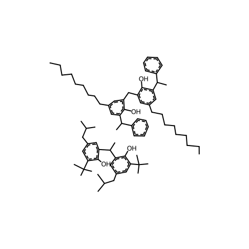 CC(C)Cc1cc(C(C)c2cc(CC(C)C)cc(C(C)(C)C)c2O)c(O)c(C(C)(C)C)c1.CCCCCCCCCc1cc(Cc2cc(CCCCCCCCC)cc(C(C)c3ccccc3)c2O)c(O)c(C(C)c2ccccc2)c1